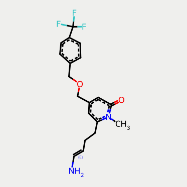 Cn1c(CC/C=C/N)cc(COCc2ccc(C(F)(F)F)cc2)cc1=O